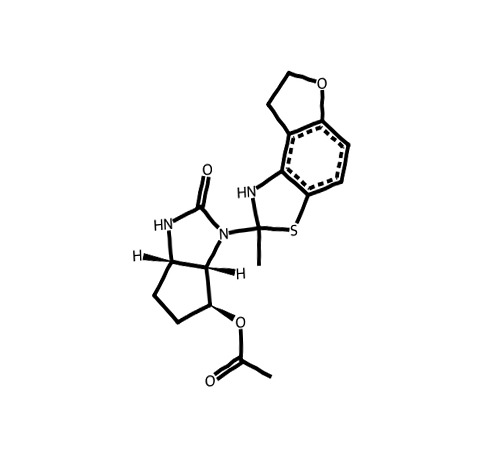 CC(=O)O[C@H]1CC[C@@H]2NC(=O)N(C3(C)Nc4c(ccc5c4CCO5)S3)[C@@H]21